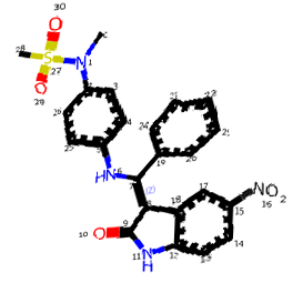 CN(c1ccc(N/C(=C2\C(=O)Nc3ccc([N+](=O)[O-])cc32)c2ccccc2)cc1)S(C)(=O)=O